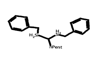 CCCCCC([SiH2]Cc1ccccc1)[SiH2]Cc1ccccc1